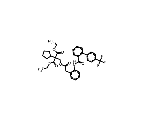 CCOC(=O)C(COC(=O)Cc1ccccc1NC(=O)c1ccccc1-c1ccc(C(F)(F)F)cc1)(C(=O)OCC)C1CCCC1